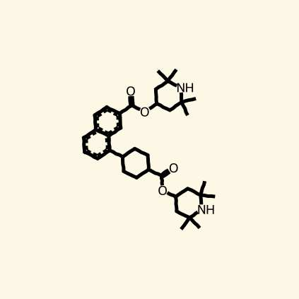 CC1(C)CC(OC(=O)c2ccc3cccc(C4CCC(C(=O)OC5CC(C)(C)NC(C)(C)C5)CC4)c3c2)CC(C)(C)N1